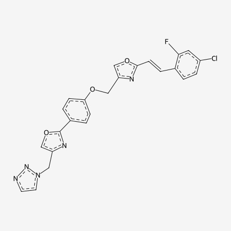 Fc1cc(Cl)ccc1C=Cc1nc(COc2ccc(-c3nc(Cn4ccnn4)co3)cc2)co1